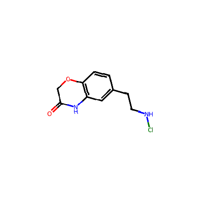 O=C1COc2ccc(CCNCl)cc2N1